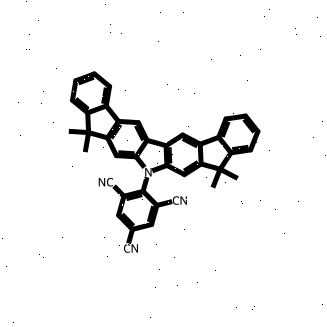 CC1(C)c2ccccc2-c2cc3c4cc5c(cc4n(-c4c(C#N)cc(C#N)cc4C#N)c3cc21)C(C)(C)c1ccccc1-5